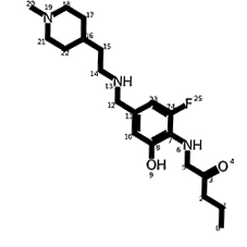 CCCC(=O)CNc1c(O)cc(CNCCC2CCN(C)CC2)cc1F